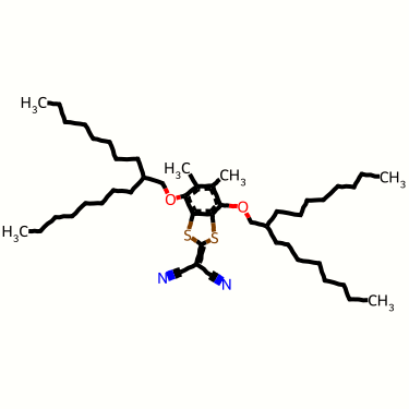 CCCCCCCCC(CCCCCCCC)COc1c(C)c(C)c(OCC(CCCCCCCC)CCCCCCCC)c2c1SC(=C(C#N)C#N)S2